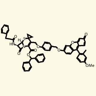 COc1ccc(-c2c3ccc(=O)cc-3oc3cc(OCc4ccc(OCC5=C(C(=O)OC(c6ccccc6)c6ccccc6)N6C(=O)[C@@H](NC(=O)Cc7ccccc7)[C@H]6SC56CC6)cc4)ccc23)c(C)c1